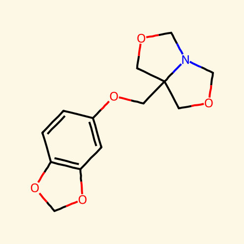 c1cc2c(cc1OCC13COCN1COC3)OCO2